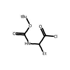 CCC(NC(=O)OC(C)(C)C)C(=O)Cl